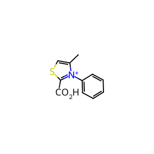 Cc1csc(C(=O)O)[n+]1-c1ccccc1